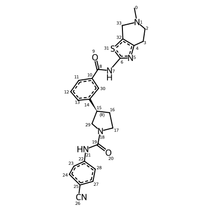 CN1CCc2nc(NC(=O)c3cccc([C@H]4CCN(C(=O)Nc5ccc(C#N)cc5)C4)c3)sc2C1